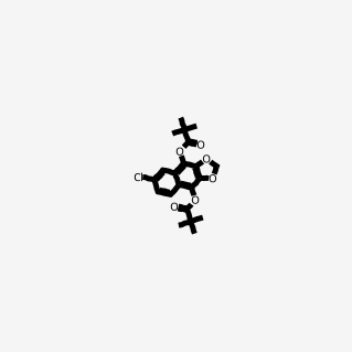 CC(C)(C)C(=O)Oc1c2c(c(OC(=O)C(C)(C)C)c3cc(Cl)ccc13)OCO2